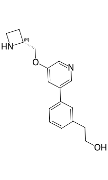 OCCc1cccc(-c2cncc(OC[C@H]3CCN3)c2)c1